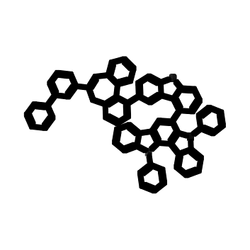 C1=C(c2cccc(-c3ccccc3)c2)Cc2cccc(-c3ccc4oc5cccc(-c6cc7c8ccccc8n(-c8ccccc8)c7c7c8ccccc8n(-c8ccccc8)c67)c5c4c3)c2-c2ccccc21